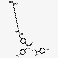 COc1ccc([C@@H]2[C@@H](CC[C@H](O)c3ccc(F)cc3)C(=O)N2c2ccc(CNC(=O)CCCCCCCCCCC(=O)O)cc2)cc1